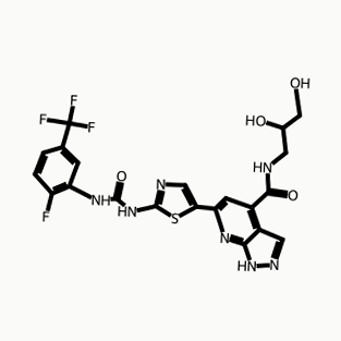 O=C(Nc1ncc(-c2cc(C(=O)NCC(O)CO)c3cn[nH]c3n2)s1)Nc1cc(C(F)(F)F)ccc1F